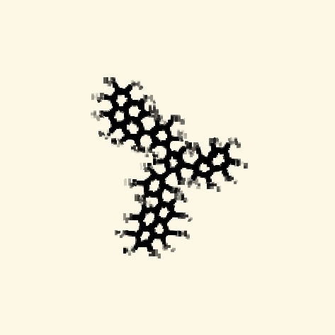 Bc1c(B)c(-c2c(B)c(-c3c(B)c(B)c(B)c(-c4c(B)c(B)c5c(B)c(B)c6c(B)c(B)c(B)c7c(B)c(B)c4c5c67)c3B)c(B)c(-c3c(B)c(B)c4c(B)c(B)c(B)c(B)c4c3B)c2B)c(B)c(-c2c(B)c(B)c3c(B)c(B)c4c(B)c(B)c(B)c5c(B)c(B)c2c3c45)c1B